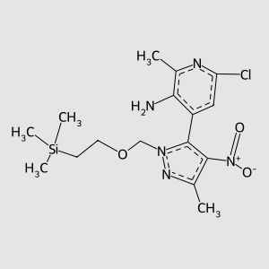 Cc1nc(Cl)cc(-c2c([N+](=O)[O-])c(C)nn2COCC[Si](C)(C)C)c1N